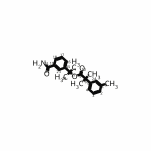 Cc1cccc(C(C)(C)C(=O)OC(C)(C)c2cccc(C(N)=O)c2)c1